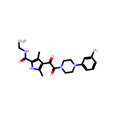 CCOC(=O)CNC(=O)c1[nH]c(C)c(C(=O)C(=O)N2CCN(c3cccc(C(F)(F)F)c3)CC2)c1C